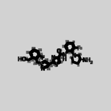 N[C@@H]1CCCN(c2c(F)cccc2NC(=O)c2csc(-c3cnn(Cc4c(F)cccc4CO)c3)n2)C1